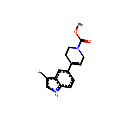 CCc1c[nH]c2ccc(C3=CCN(C(=O)OC(C)(C)C)CC3)cc12